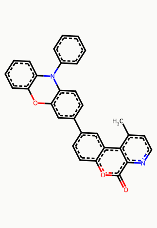 Cc1ccnc2c(=O)oc3ccc(-c4ccc5c(c4)Oc4ccccc4N5c4ccccc4)cc3c12